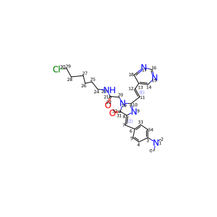 CN(C)c1ccc(/C=C2N=C(/C=C/c3cncnc3)N(CC(=O)NCCCCCCCl)C\2=O)cc1